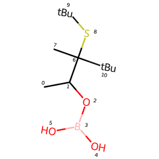 CC(OB(O)O)C(C)(SC(C)(C)C)C(C)(C)C